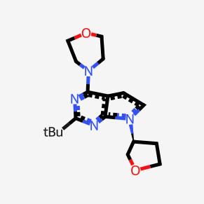 CC(C)(C)c1nc(N2CCOCC2)c2ccn([C@H]3CCOC3)c2n1